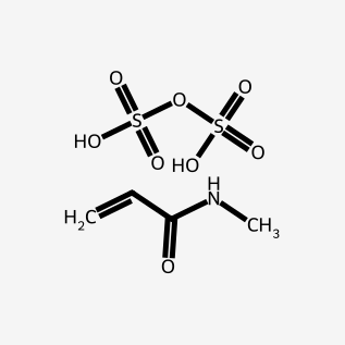 C=CC(=O)NC.O=S(=O)(O)OS(=O)(=O)O